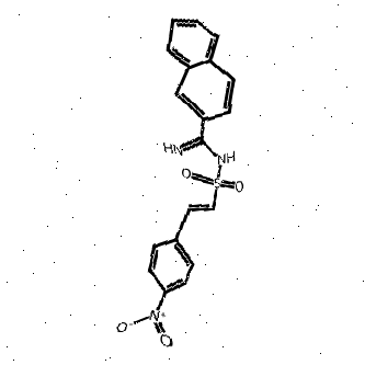 N=C(NS(=O)(=O)C=Cc1ccc([N+](=O)[O-])cc1)c1ccc2ccccc2c1